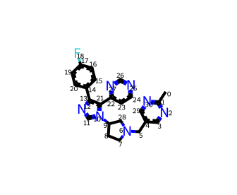 Cc1ncc(CN2CCC(n3cnc(-c4ccc(F)cc4)c3-c3ccncn3)C2)cn1